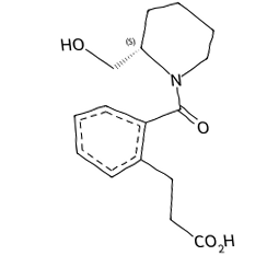 O=C(O)CCc1ccccc1C(=O)N1CCCC[C@H]1CO